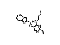 C=Cc1ncc(OCc2cn3ccccc3n2)c(NCCCC)n1